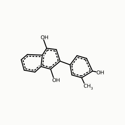 Cc1cc(-c2cc(O)c3ccccc3c2O)ccc1O